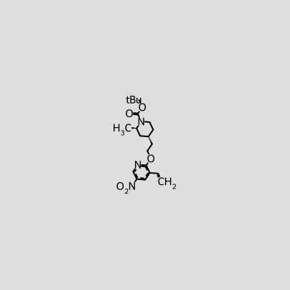 C=Cc1cc([N+](=O)[O-])cnc1OCC[C@@H]1CCN(C(=O)OC(C)(C)C)[C@H](C)C1